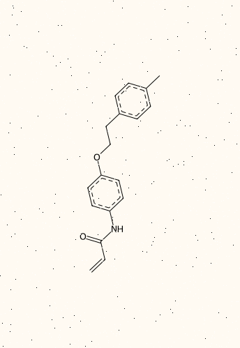 C=CC(=O)Nc1ccc(OCCc2ccc(C)cc2)cc1